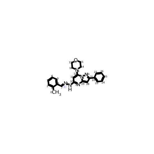 Cc1ccccc1/C=N/Nc1cc(N2CCOCC2)n2nc(-c3ccccc3)cc2n1